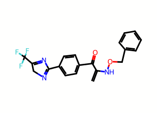 C=C(NOCc1ccccc1)C(=O)c1ccc(C2=NCC(C(F)(F)F)=N2)cc1